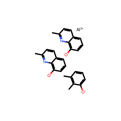 Cc1ccc2cccc([O-])c2n1.Cc1ccc2cccc([O-])c2n1.Cc1cccc([O-])c1C.[Al+3]